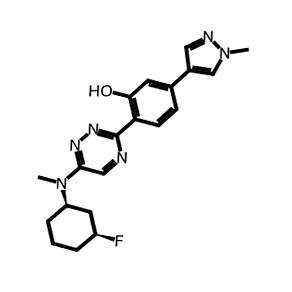 CN(c1cnc(-c2ccc(-c3cnn(C)c3)cc2O)nn1)[C@@H]1CCC[C@H](F)C1